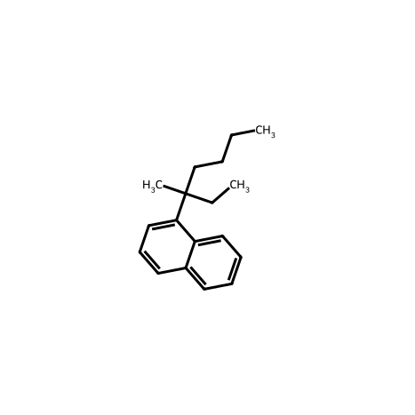 CCCCC(C)(CC)c1cccc2ccccc12